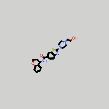 O=C(NC1CCOc2ccccc21)c1ccc2nc(N3CCN(CCO)CC3)sc2c1